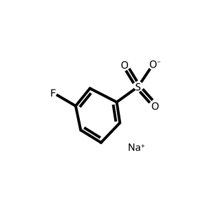 O=S(=O)([O-])c1cccc(F)c1.[Na+]